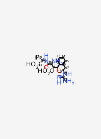 CC(C)[C@H](NC(=O)[C@@H](N)C(C(=O)O)C(=O)c1ccccc1CCNC(=N)N)C(=O)O